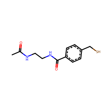 CC(=O)NCCNC(=O)c1ccc(CS)cc1